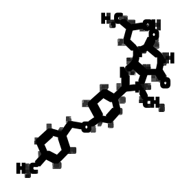 Cc1ccc(COc2ccc(-c3nc4c(c(=O)[nH]c(=O)n4CC(C)O)n3C)cc2)cc1